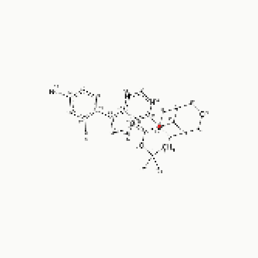 CC1(OC(=O)N2CC3COCC(C2)C3Oc2ncnc3c(-c4ccc(C#N)cc4F)csc23)CC1